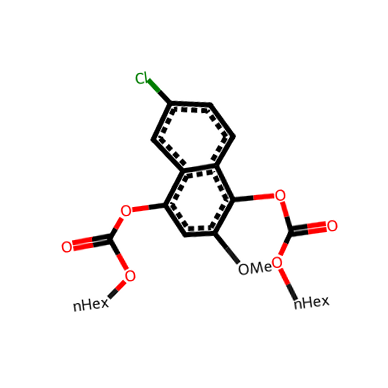 CCCCCCOC(=O)Oc1cc(OC)c(OC(=O)OCCCCCC)c2ccc(Cl)cc12